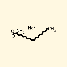 CCCCCCCC/C=C\CCCCCCC(N)C(=O)[O-].[Na+]